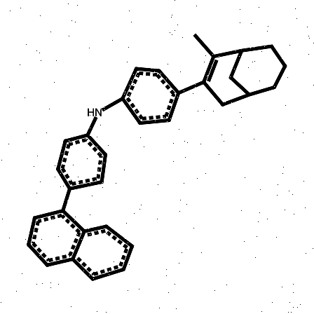 CC1=C(c2ccc(Nc3ccc(-c4cccc5ccccc45)cc3)cc2)CC2CCCC1C2